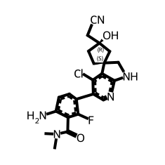 CN(C)C(=O)c1c(N)ccc(-c2cnc3c(c2Cl)[C@@]2(CC[C@](O)(CC#N)C2)CN3)c1F